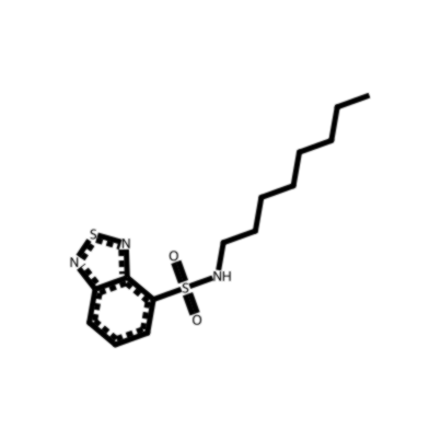 CCCCCCCCNS(=O)(=O)c1cccc2nsnc12